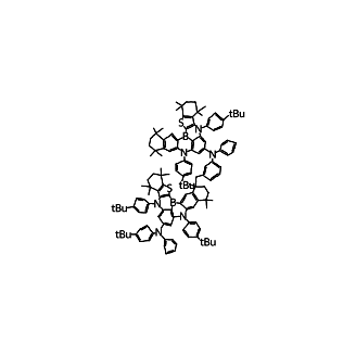 CC(C)(C)c1ccc(N(c2ccccc2)c2cc3c4c(c2)N(c2ccc(C(C)(C)C)cc2)c2c(sc5c2C(C)(C)CCC5(C)C)B4c2cc4c(cc2N3c2ccc(C(C)(C)C)cc2)C(C)(C)CCC4(C)Cc2cccc(N(c3ccccc3)c3cc4c5c(c3)N(c3ccc(C(C)(C)C)cc3)c3c(sc6c3C(C)(C)CCC6(C)C)B5c3cc5c(cc3N4c3ccc(C(C)(C)C)cc3)C(C)(C)CCC5(C)C)c2)cc1